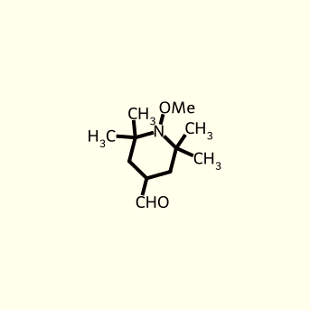 CON1C(C)(C)CC(C=O)CC1(C)C